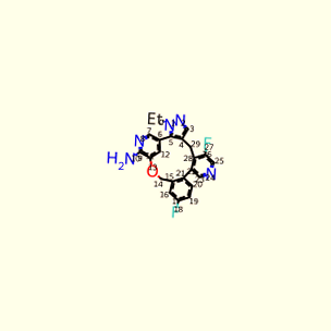 CCn1ncc2c1-c1cnc(N)c(c1)OCc1cc(F)ccc1-c1cncc(F)c1C2